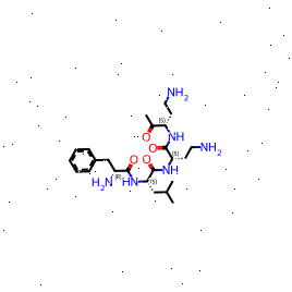 CC(=O)[C@H](CCN)NC(=O)[C@H](CCN)NC(=O)[C@H](CC(C)C)NC(=O)[C@H](N)Cc1ccccc1